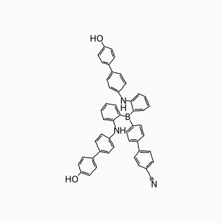 N#Cc1ccc(-c2ccc(B(c3ccccc3Nc3ccc(-c4ccc(O)cc4)cc3)c3ccccc3Nc3ccc(-c4ccc(O)cc4)cc3)cc2)cc1